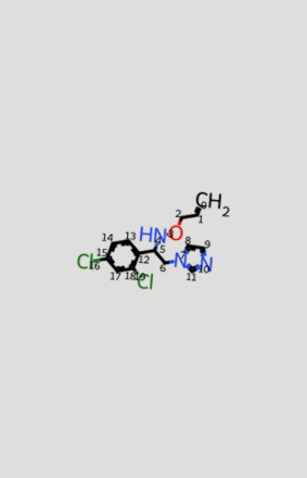 C=CCONC(Cn1ccnc1)c1ccc(Cl)cc1Cl